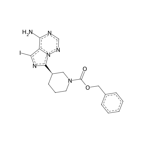 Nc1ncnn2c([C@@H]3CCCN(C(=O)OCc4ccccc4)C3)nc(I)c12